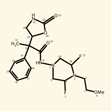 COCCN1C(F)CN(NC(=O)C(C)(c2ccccc2)C2CNC(=O)O2)CC1F